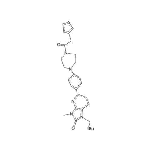 Cn1c(=O)n(CC(C)(C)C)c2ccc(-c3ccc(N4CCN(C(=O)Cc5ccsc5)CC4)cc3)nc21